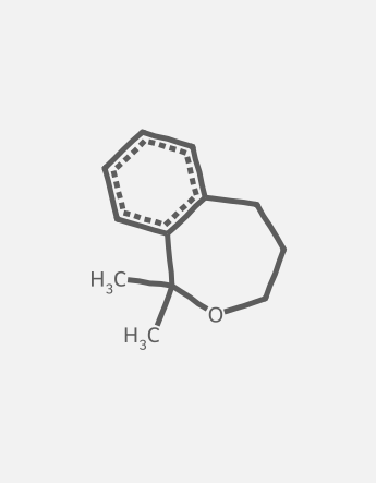 CC1(C)OCCCc2ccccc21